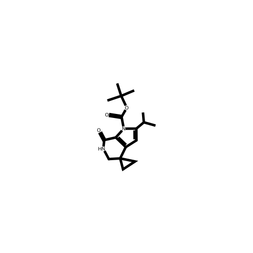 CC(C)c1cc2c(n1C(=O)OC(C)(C)C)C(=O)NCC21CC1